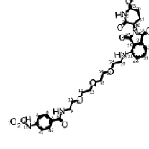 O=C(O)Nc1ccc(C(=O)NCCOCCOCCOCCNc2cccc3c2C(=O)N(C2CCC(=O)NC2=O)C3=O)cc1